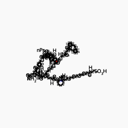 CCCC1O[C@@H]2C[C@H]3[C@@H]4C[C@H](F)C5=CC(=O)C=C[C@]5(C)[C@@]4(F)[C@@H](O)C[C@]3(C)[C@]2(C(=O)CNC(=O)OCc2ccc(NC(=O)[C@H](CCCNC(N)=O)NC(=O)[C@@H](NC(=O)[C@@H](CCCCNC(=O)COC3CCCCC/C(NCCOCCOCCOCCOCCC(=O)NCCS(=O)(=O)O)=C\3N=N)NC(=O)CCOCCOCCOCCOCCNC(=O)CCC(=O)N3Cc4ccccc4C#Cc4ccccc43)C(C)C)cc2)O1